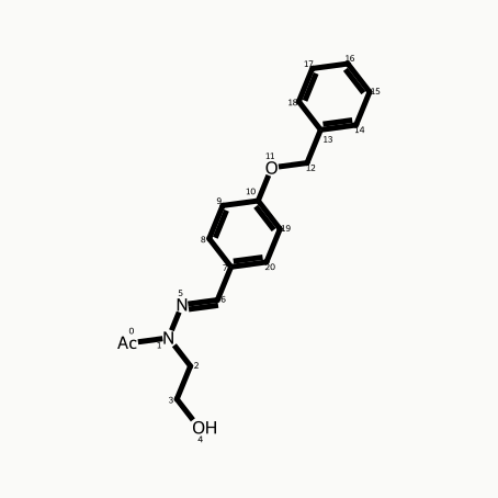 CC(=O)N(CCO)/N=C/c1ccc(OCc2ccccc2)cc1